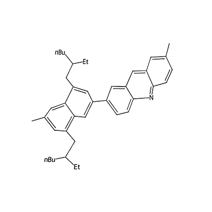 CCCCC(CC)Cc1cc(-c2ccc3nc4ccc(C)cc4cc3c2)cc2c(CC(CC)CCCC)cc(C)cc12